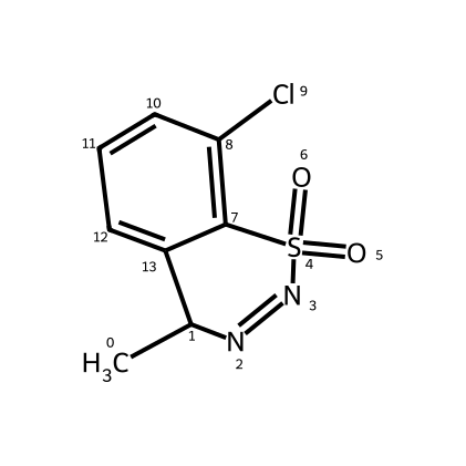 CC1N=NS(=O)(=O)c2c(Cl)cccc21